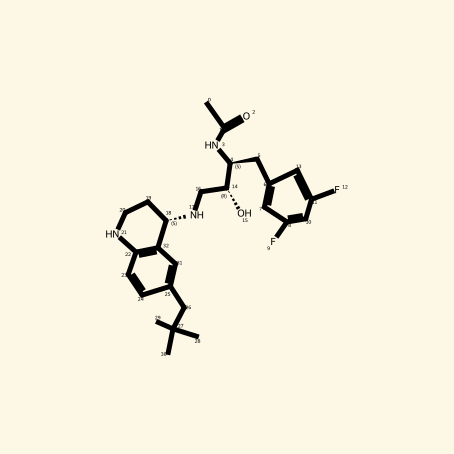 CC(=O)N[C@@H](Cc1cc(F)cc(F)c1)[C@H](O)CN[C@H]1CCNc2ccc(CC(C)(C)C)cc21